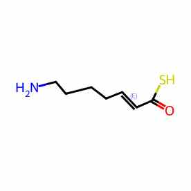 NCCCC/C=C/C(=O)S